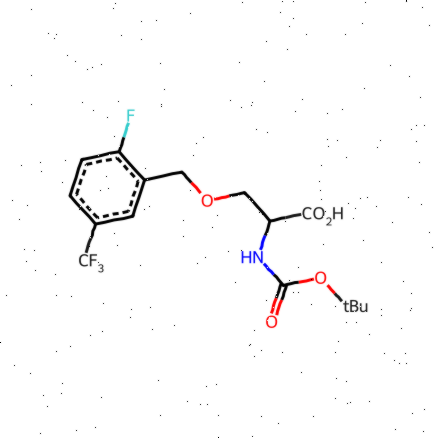 CC(C)(C)OC(=O)NC(COCc1cc(C(F)(F)F)ccc1F)C(=O)O